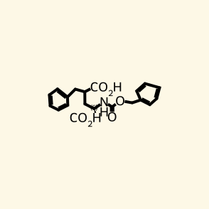 O=C(N[C@@H](CC(Cc1ccccc1)C(=O)O)C(=O)O)OCc1ccccc1